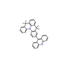 CC1(C)c2ccccc2N2c3ccc(-c4c5ccccc5nc5ccccc45)cc3C(C)(C)c3cccc1c32